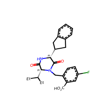 CCC(CC)[C@@H]1C(=O)N[C@H](C2Cc3ccccc3C2)C(=O)N1Cc1ccc(F)cc1C(=O)O